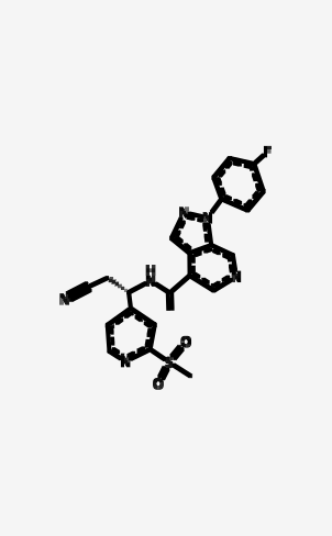 C=C(N[C@@H](CC#N)c1ccnc(S(C)(=O)=O)c1)c1cncc2c1cnn2-c1ccc(F)cc1